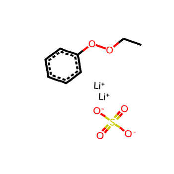 CCOOc1ccccc1.O=S(=O)([O-])[O-].[Li+].[Li+]